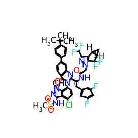 Cn1nc(NS(C)(=O)=O)c2c(Cl)ccc(-n3c([C@H](Cc4cc(F)cc(F)c4)NC(=O)Cn4nc(C(F)F)c5c4C(F)(F)[C@@H]4C[C@H]54)nc4cc(-c5ccc(C(C)(C)C)cc5)ccc4c3=O)c21